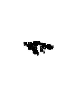 CCC(c1ccc(OCCc2nc(-c3ccc(F)cc3)oc2C)cc1)C(NCc1ccc(F)cc1)C(=O)O